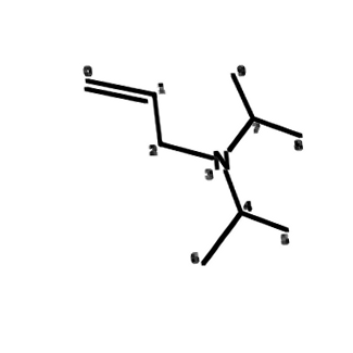 C=CCN(C(C)C)C(C)C